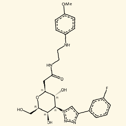 COc1ccc(NCCNC(=O)C[C@@H]2O[C@H](CO)[C@H](O)[C@H](n3cc(-c4cccc(F)c4)nn3)[C@H]2O)cc1